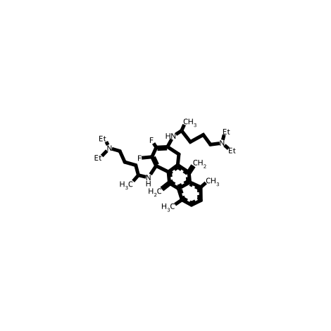 C=c1c2c(c(=C)c3c(C)ccc(C)c13)C(NC(C)CCCN(CC)CC)=C(F)C(F)=C(NC(C)CCCN(CC)CC)C2